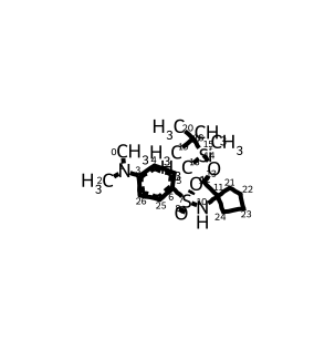 CN(C)c1ccc(S(=O)(=O)NC2(CO[Si](C)(C)C(C)(C)C)CCCC2)cc1